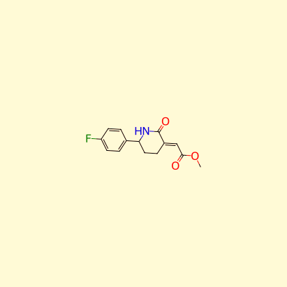 COC(=O)C=C1CCC(c2ccc(F)cc2)NC1=O